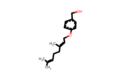 CC(C)=CCC/C(C)=C/COc1ccc(CO)cc1